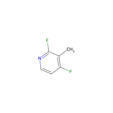 Cc1c(F)ccnc1F